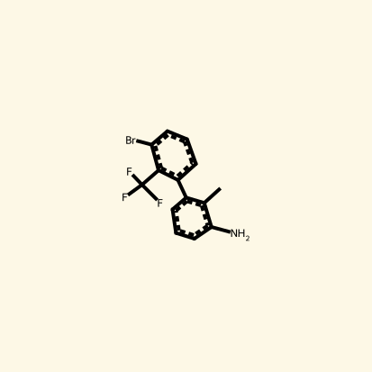 Cc1c(N)cccc1-c1cccc(Br)c1C(F)(F)F